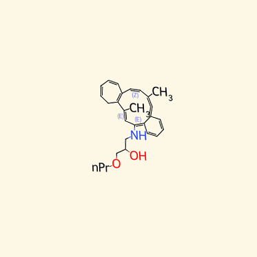 CCCOCC(O)CNC1=c2\ccccc2=C=C(C)/C=C\C2=C(CC=CC=C2)C(\C)=C\1